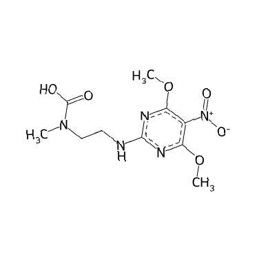 COc1nc(NCCN(C)C(=O)O)nc(OC)c1[N+](=O)[O-]